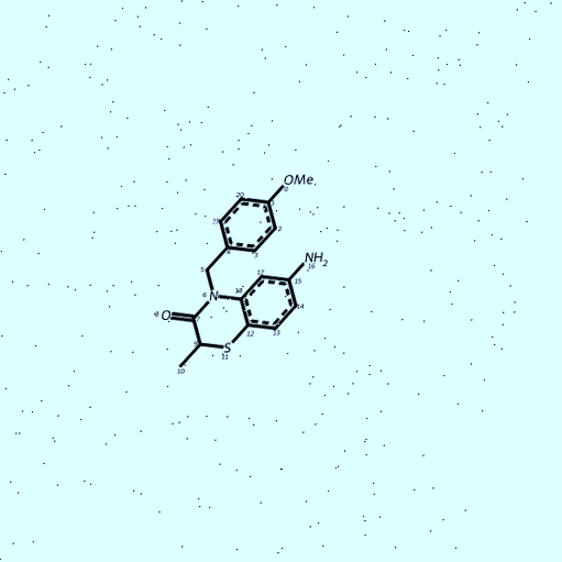 COc1ccc(CN2C(=O)C(C)Sc3ccc(N)cc32)cc1